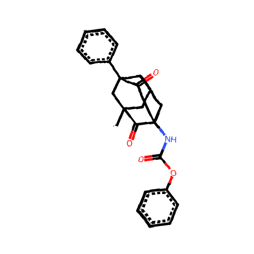 [CH2]C12CC3CC(NC(=O)Oc4ccccc4)(C1=O)C(=O)C(c1ccccc1)(C3)C2